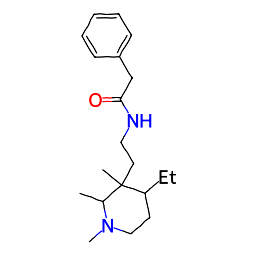 CCC1CCN(C)C(C)C1(C)CCNC(=O)Cc1ccccc1